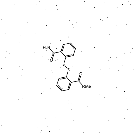 CNC(=O)c1ccccc1SSc1ccccc1C(N)=O